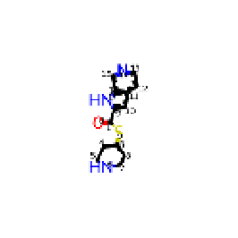 O=C(SC1CCNCC1)c1cc2ccncc2[nH]1